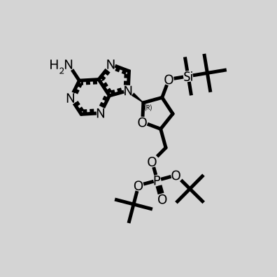 CC(C)(C)OP(=O)(OCC1CC(O[Si](C)(C)C(C)(C)C)[C@H](n2cnc3c(N)ncnc32)O1)OC(C)(C)C